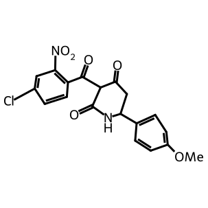 COc1ccc(C2CC(=O)C(C(=O)c3ccc(Cl)cc3[N+](=O)[O-])C(=O)N2)cc1